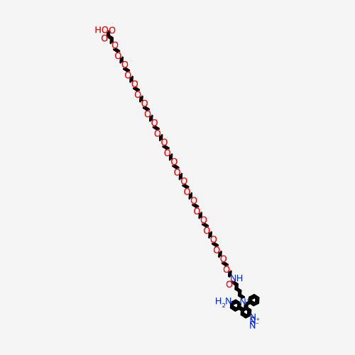 [N-]=[N+]=Nc1ccc2c(c1)c(-c1ccccc1)[n+](CCCCCC(=O)NCCOCCOCCOCCOCCOCCOCCOCCOCCOCCOCCOCCOCCOCCOCCOCCOCCOCCOCCOCCOCCOCCOCCOCCOCCC(=O)C(=O)O)c1cc(N)ccc21